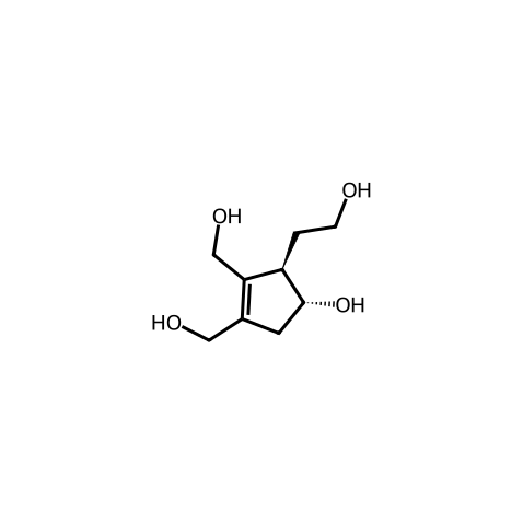 OCC[C@@H]1C(CO)=C(CO)C[C@H]1O